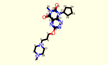 CN1CCN(CCCOc2nnc3c(n2)c(=O)n(C)c(=O)n3C2CCCC2)CC1